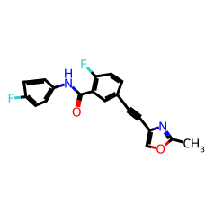 Cc1nc(C#Cc2ccc(F)c(C(=O)Nc3ccc(F)cc3)c2)co1